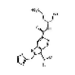 CCC(C)C[C@@H](CCC(=O)O)NC(=O)c1ccc2c(c1)nc(Cc1cccs1)n2C(CC)CC